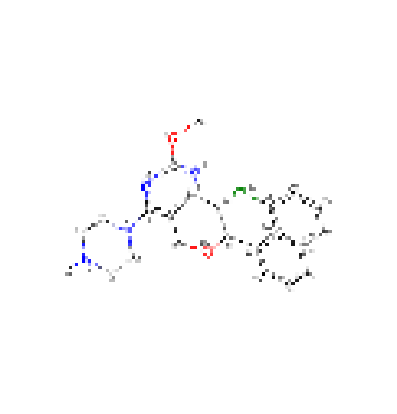 COc1nc2c(c(N3CCN(C)CC3)n1)COC(c1cccc3cccc(Cl)c13)C2